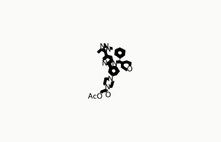 CC(=O)OCC(=O)N1CCN(c2ccc3c(c2)c2ncc(-c4c(C)nnn4C)cc2n3[C@H](c2ccccc2)C2CCOCC2)CC1